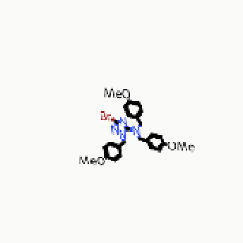 COc1ccc(CN(Cc2ccc(OC)cc2)c2nc(Br)nn2Cc2ccc(OC)cc2)cc1